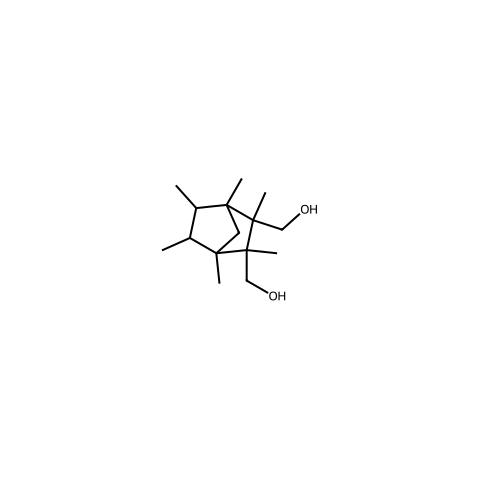 CC1C(C)C2(C)CC1(C)C(C)(CO)C2(C)CO